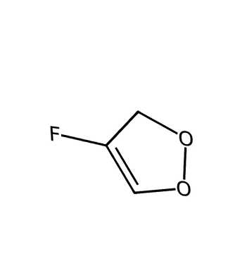 FC1=COOC1